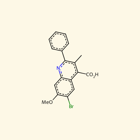 COc1cc2nc(-c3ccccc3)c(C)c(C(=O)O)c2cc1Br